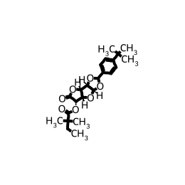 CCC(C)(C)C(=O)O[C@@H]1C(=O)O[C@@H]2[C@H]3OC(c4ccc(C(C)(C)C)cc4)O[C@H]3O[C@@H]21